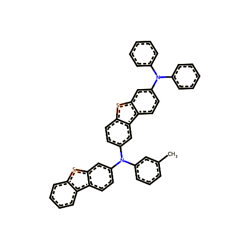 Cc1cccc(N(c2ccc3c(c2)sc2ccccc23)c2ccc3sc4cc(N(c5ccccc5)c5ccccc5)ccc4c3c2)c1